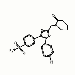 NS(=O)(=O)c1ccc(-c2sc(CN3CCCCC3=O)nc2-c2ccc(Cl)cc2)cc1